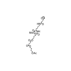 COC(=O)C(CCCCNC(=O)CCc1ccco1)NC(=O)OCCCCOC(=O)CCC(=O)OCCCCOC(C)=O